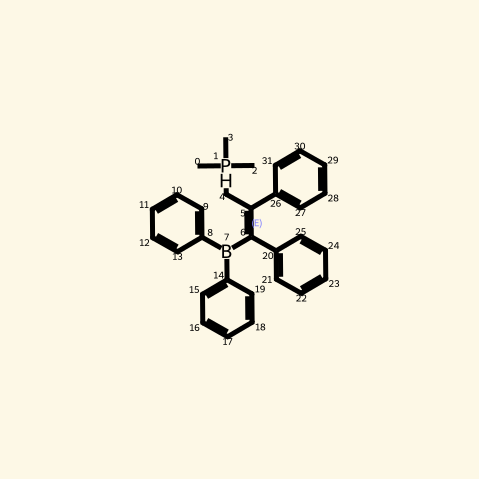 C[PH](C)(C)C/C(=C(\B(c1ccccc1)c1ccccc1)c1ccccc1)c1ccccc1